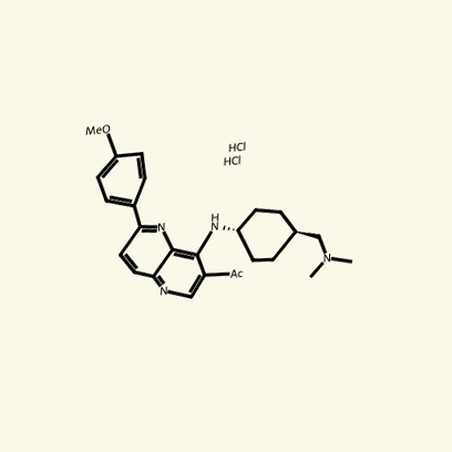 COc1ccc(-c2ccc3ncc(C(C)=O)c(N[C@H]4CC[C@H](CN(C)C)CC4)c3n2)cc1.Cl.Cl